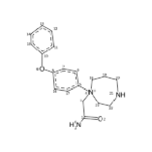 NC(=O)C[N+]1(c2ccc(Oc3ccccc3)cc2)CCCNCC1